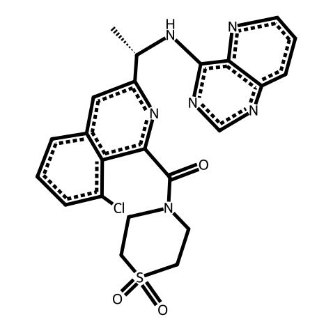 C[C@H](Nc1ncnc2cccnc12)c1cc2cccc(Cl)c2c(C(=O)N2CCS(=O)(=O)CC2)n1